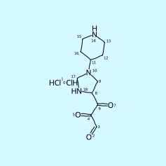 Cl.Cl.O=CC(=O)C(=O)C1CN(C2CCNCC2)CN1